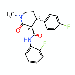 CN1CC[C@H](c2ccc(F)cc2)[C@@H](C(=O)Nc2ccccc2F)C1=O